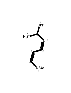 CN/C=C\C=N/C(C)C(C)C